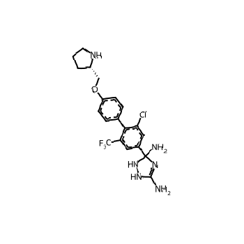 NC1=NC(N)(c2cc(Cl)c(-c3ccc(OC[C@@H]4CCCN4)cc3)c(C(F)(F)F)c2)NN1